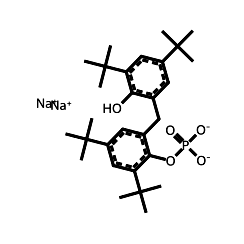 CC(C)(C)c1cc(Cc2cc(C(C)(C)C)cc(C(C)(C)C)c2OP(=O)([O-])[O-])c(O)c(C(C)(C)C)c1.[Na+].[Na+]